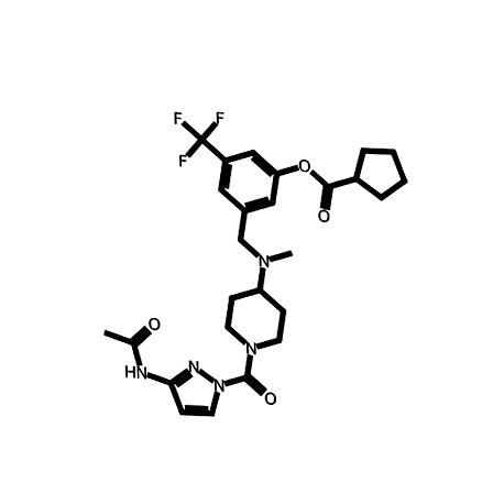 CC(=O)Nc1ccn(C(=O)N2CCC(N(C)Cc3cc(OC(=O)C4CCCC4)cc(C(F)(F)F)c3)CC2)n1